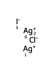 [Ag+].[Ag+].[Cl-].[I-]